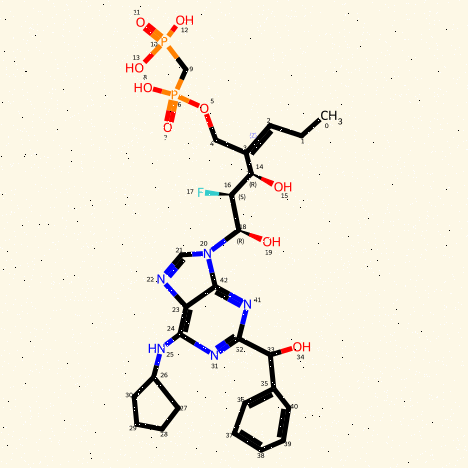 CC/C=C(/COP(=O)(O)CP(=O)(O)O)[C@@H](O)[C@H](F)[C@@H](O)n1cnc2c(NC3CCCC3)nc(C(O)c3ccccc3)nc21